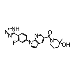 CC1(O)CCCN(C(=O)c2cnc3c(ccn3-c3ccc(-c4nnc[nH]4)c(F)c3)c2)C1